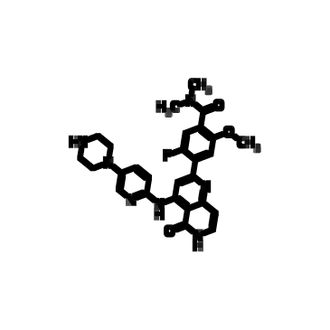 COc1cc(-c2cc(Nc3ccc(N4CCNCC4)cn3)c3c(=O)[nH]ccc3n2)c(F)cc1C(=O)N(C)C